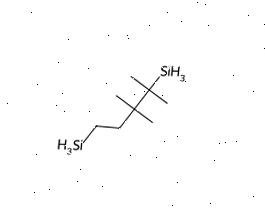 CC(C)([SiH3])C(C)(C)CC[SiH3]